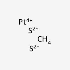 C.[Pt+4].[S-2].[S-2]